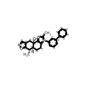 Cc1nc2c(n1-c1cccc(-c3ccccc3)c1)CC[C@H]1[C@H](C)c3oncc3C[C@]21C